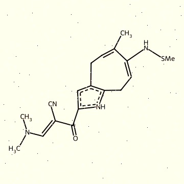 CSN/C1=C/Cc2[nH]c(C(=O)/C(C#N)=C/N(C)C)cc2CC=C1C